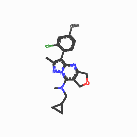 COc1ccc(-c2c(C)nn3c(N(C)CC4CC4)c4c(nc23)COC4)c(Cl)c1